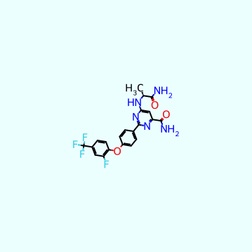 C[C@H](Nc1cc(C(N)=O)nc(-c2ccc(Oc3ccc(C(F)(F)F)cc3F)cc2)n1)C(N)=O